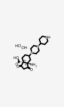 Cl.Cl.N[C@]12CC(N3CCN(C4CCNCC4)CC3)CC[C@]1(C(=O)O)C(=O)CC2=O